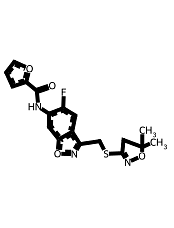 CC1(C)CC(SCc2noc3cc(NC(=O)c4ccco4)c(F)cc23)=NO1